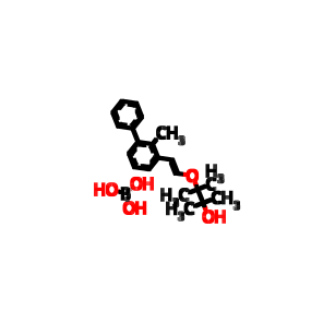 Cc1c(C=COC(C)(C)C(C)(C)O)cccc1-c1ccccc1.OB(O)O